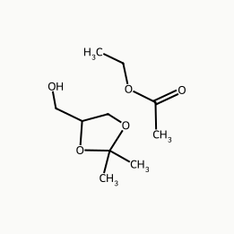 CC1(C)OCC(CO)O1.CCOC(C)=O